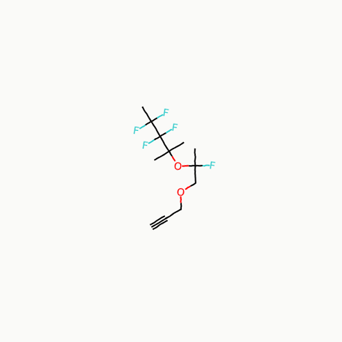 C#CCOCC(C)(F)OC(C)(C)C(F)(F)C(C)(F)F